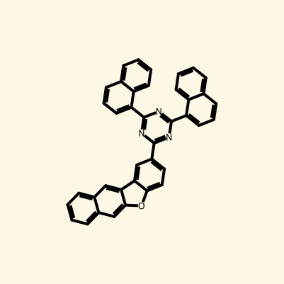 c1ccc2cc3c(cc2c1)oc1ccc(-c2nc(-c4cccc5ccccc45)nc(-c4cccc5ccccc45)n2)cc13